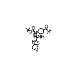 CN1CCc2nc(C(=O)NC3CC(C(=O)N(C)C)CCC3NC(=O)OC(C)(C)C)sc2C1